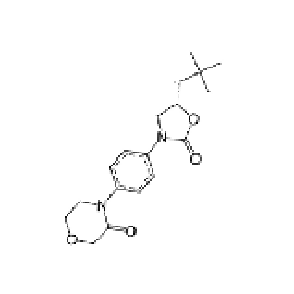 CC(C)(C)[CH][C@H]1CN(c2ccc(N3CCOCC3=O)cc2)C(=O)O1